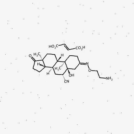 C[C@]12CC[C@H]3[C@@H](C[C@@H](C#N)[C@@]4(O)CC(=NOCCN)CC[C@]34C)[C@@H]1CCC2=O.O=C(O)/C=C/C(=O)O